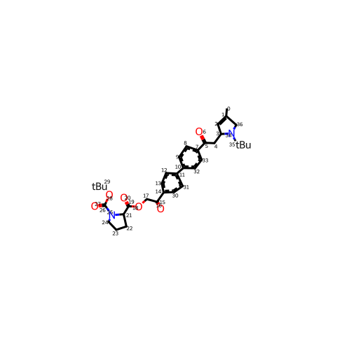 CC1=CC(CC(=O)c2ccc(-c3ccc(C(=O)COC(=O)C4CCCN4C(=O)OC(C)(C)C)cc3)cc2)N(C(C)(C)C)C1